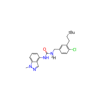 [2H]N(Cc1ccc(Cl)c(CCC(C)(C)C)c1)C(=O)Nc1cccc2c1cnn2C